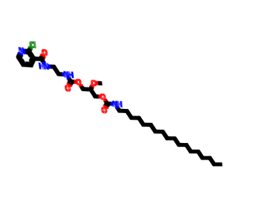 CCCCCCCCCCCCCCCCCCNC(=O)OCC(COC(=O)NCCNC(=O)c1cccnc1Cl)OC